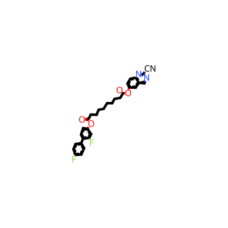 N#Cc1ncc2cc(OC(=O)CCCCCCCCC(=O)Oc3ccc(-c4ccc(F)cc4)c(F)c3)ccc2n1